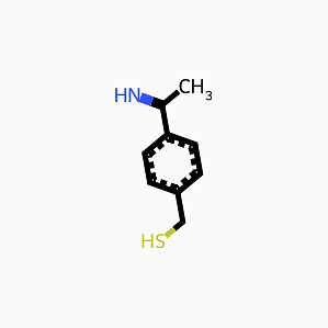 CC(=N)c1ccc(CS)cc1